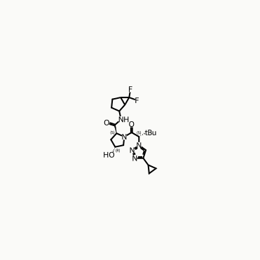 CC(C)(C)[C@@H](C(=O)N1C[C@H](O)C[C@H]1C(=O)NC1CCC2C1C2(F)F)n1cc(C2CC2)nn1